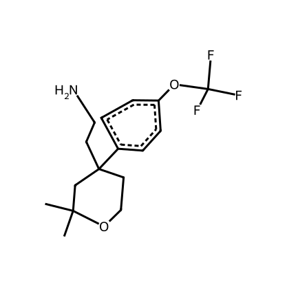 CC1(C)CC(CCN)(c2ccc(OC(F)(F)F)cc2)CCO1